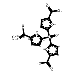 O=C([O-])c1ccc(P(=O)(c2ccc(C(=O)[O-])o2)c2ccc(C(=O)[O-])o2)o1.[Gd+3]